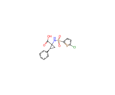 O=C(O)C1(NS(=O)(=O)c2ccc(Cl)s2)C[C@H]1c1ccccc1